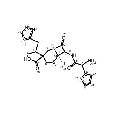 CC(Sc1nnn[nH]1)C1(C(=O)O)CS[C@@H]2C(NC(=O)C(N)c3cccs3)C(=O)N2C1